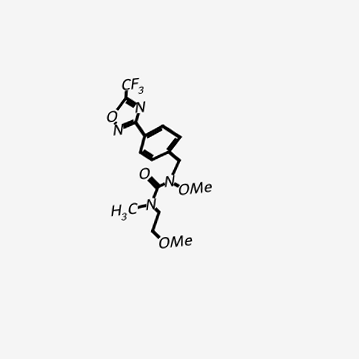 COCCN(C)C(=O)N(Cc1ccc(-c2noc(C(F)(F)F)n2)cc1)OC